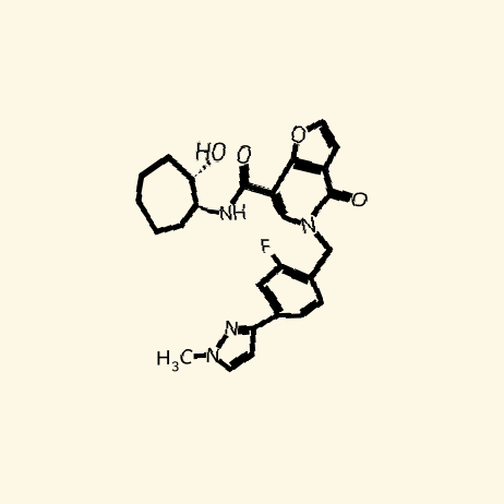 Cn1ccc(-c2ccc(Cn3cc(C(=O)N[C@H]4CCCCC[C@@H]4O)c4occc4c3=O)c(F)c2)n1